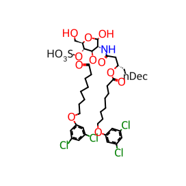 CCCCCCCCCCC[C@@H](CC(=O)N[C@H]1C(O)O[C@H](CO)[C@@H](OS(=O)(=O)O)[C@@H]1OC(=O)CCCCCCCOc1cc(Cl)cc(Cl)c1)OC(=O)CCCCCCCOc1cc(Cl)cc(Cl)c1